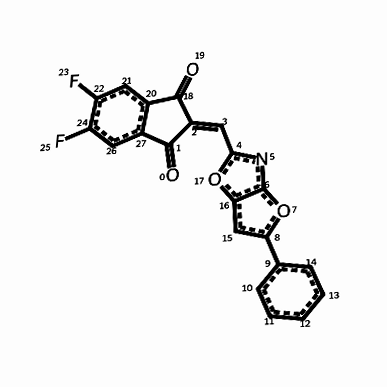 O=C1C(=Cc2nc3oc(-c4ccccc4)cc3o2)C(=O)c2cc(F)c(F)cc21